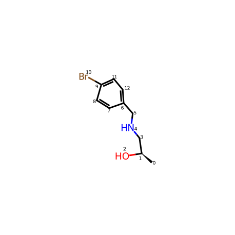 C[C@@H](O)CNCc1ccc(Br)cc1